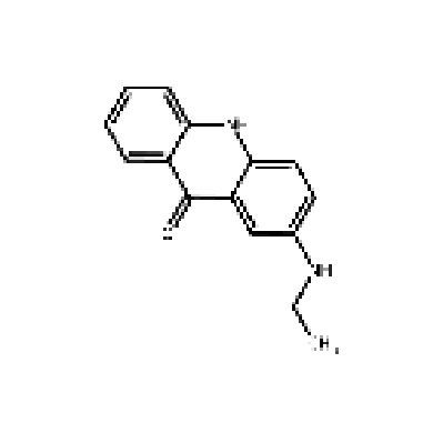 CCNc1ccc2[nH]c3ccccc3c(=O)c2c1